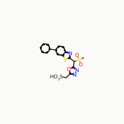 CS(=O)(=O)C(c1nnc(CS(=O)(=O)O)o1)c1nc2ccc(-c3ccccc3)cc2s1